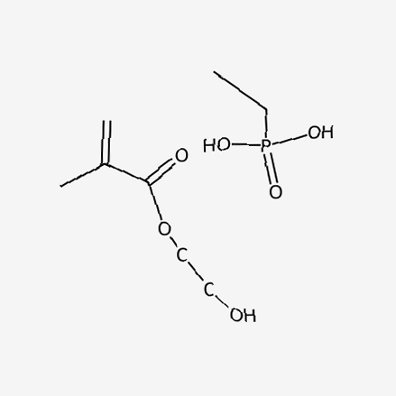 C=C(C)C(=O)OCCO.CCP(=O)(O)O